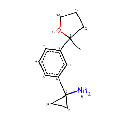 CC1(c2cccc(C3(N)CC3)c2)CCCO1